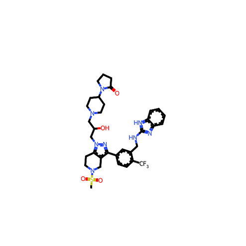 CS(=O)(=O)N1CCc2c(c(-c3ccc(C(F)(F)F)c(CNc4nc5ccccc5[nH]4)c3)nn2CC(O)CN2CCC(N3CCCC3=O)CC2)C1